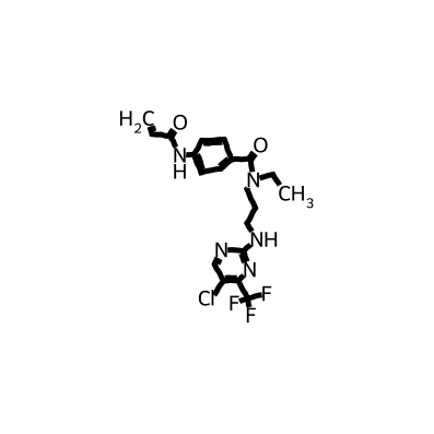 C=CC(=O)Nc1ccc(C(=O)N(CC)CCCNc2ncc(Cl)c(C(F)(F)F)n2)cc1